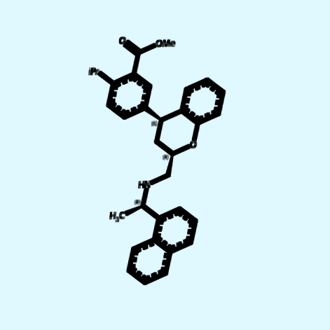 COC(=O)c1cc([C@@H]2C[C@H](CN[C@H](C)c3cccc4ccccc34)Oc3ccccc32)ccc1C(C)C